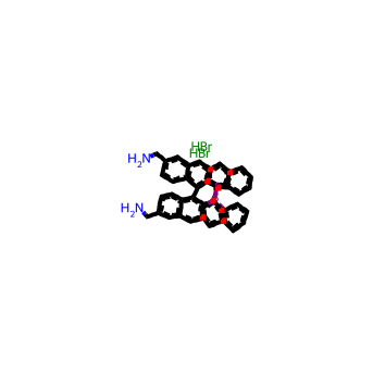 Br.Br.NCc1ccc2c(-c3c(P(c4ccccc4)c4ccccc4)ccc4cc(CN)ccc34)c(P(c3ccccc3)c3ccccc3)ccc2c1